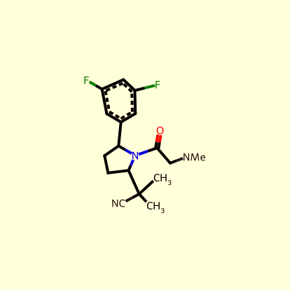 CNCC(=O)N1C(c2cc(F)cc(F)c2)CCC1C(C)(C)C#N